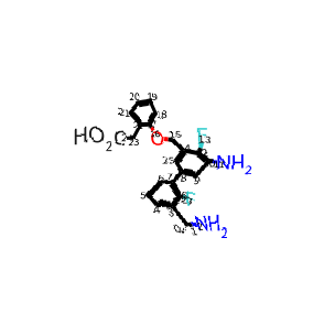 C[C@@H](N)c1cccc(-c2cc(N)c(F)c(COc3ccccc3CC(=O)O)c2)c1F